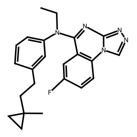 CCN(c1cccc(CCC2(C)CC2)c1)c1nc2nncn2c2ccc(F)cc12